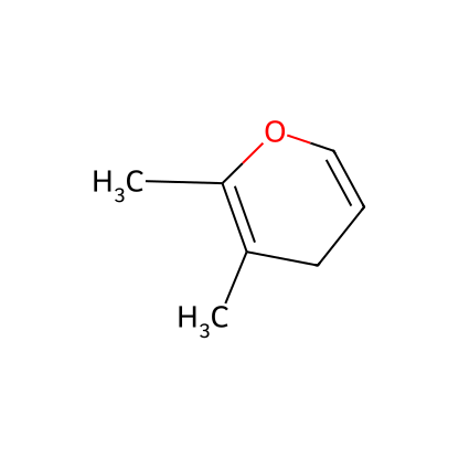 CC1=C(C)OC=CC1